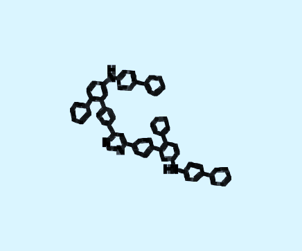 c1ccc(-c2ccc(Nc3ccc(-c4ccccc4)c(-c4ccc(-c5cc(-c6ccc(-c7cc(Nc8ccc(-c9ccccc9)cc8)ccc7-c7ccccc7)cc6)ncn5)cc4)c3)cc2)cc1